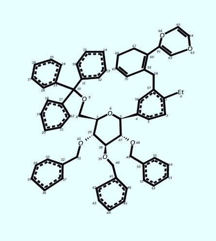 CCc1ccc([C@@H]2O[C@H](COC(c3ccccc3)(c3ccccc3)c3ccccc3)[C@@H](OCc3ccccc3)[C@H](OCc3ccccc3)[C@H]2OCc2ccccc2)cc1CC1=C(C2=COC=CO2)CCC=C1